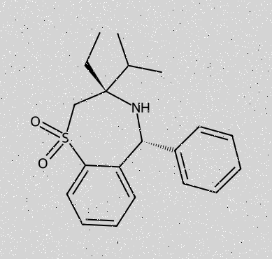 CC[C@]1(C(C)C)CS(=O)(=O)c2ccccc2[C@@H](c2ccccc2)N1